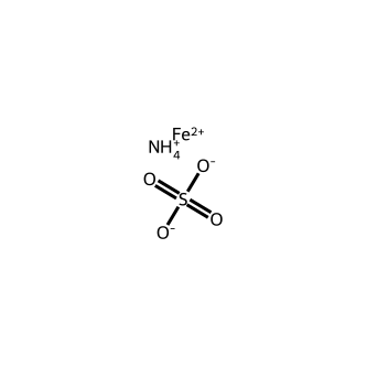 O=S(=O)([O-])[O-].[Fe+2].[NH4+]